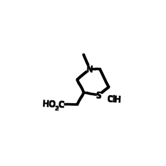 CN1CCSC(CC(=O)O)C1.Cl